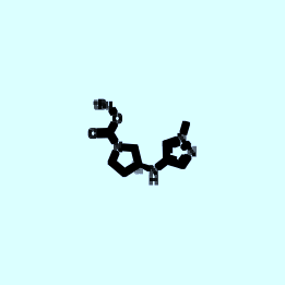 Cn1cc(N[C@H]2CCN(C(=O)OC(C)(C)C)C2)cn1